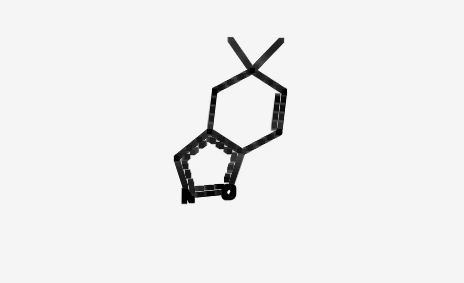 CC1(C)C=Cc2oncc2C1